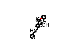 Cc1noc(-c2ccc(CNCCc3cccnc3)cc2)c1N(C(=O)O)C(C)c1ccccc1Cl